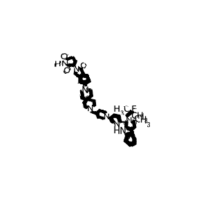 C[C@@H]1Cc2c([nH]c3ccccc23)[C@@H](c2ccc(N3CCC(CN4CCC5(CC4)CCN(c4ccc6c(c4)CN(C4CCC(=O)NC4=O)C6=O)CC5)CC3)cn2)N1CC(C)(C)F